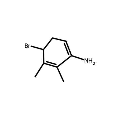 CC1=C(C)C(Br)CC=C1N